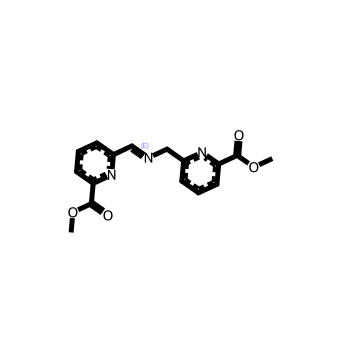 COC(=O)c1cccc(/C=N/Cc2cccc(C(=O)OC)n2)n1